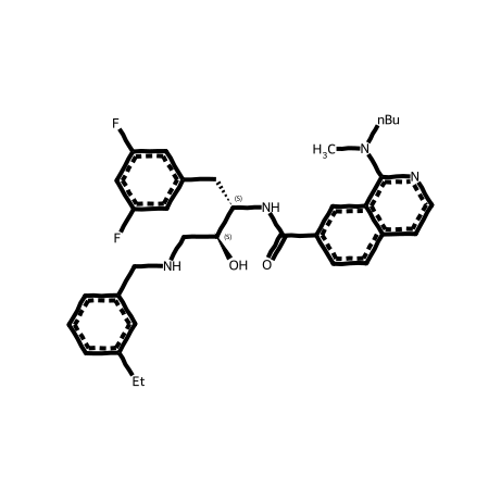 CCCCN(C)c1nccc2ccc(C(=O)N[C@@H](Cc3cc(F)cc(F)c3)[C@@H](O)CNCc3cccc(CC)c3)cc12